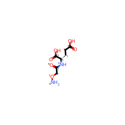 NOCC(=O)N[C@@H](CCC(=O)O)C(=O)O